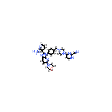 N#Cc1nccc(N2CCN(Cc3ccc(-n4c(-c5cccnc5N)nc5ccc(N6CCOCC6)nc54)cc3)CC2)n1